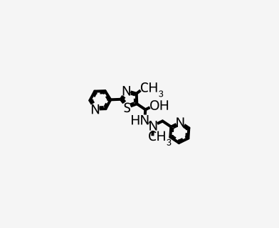 Cc1nc(-c2cccnc2)sc1C(O)NN(C)Cc1ccccn1